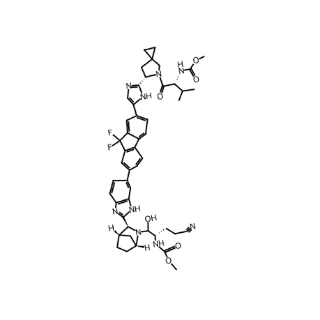 COC(=O)N[C@@H](CCC#N)C(O)N1[C@@H]2CC[C@@H](C2)[C@H]1c1nc2ccc(-c3ccc4c(c3)C(F)(F)c3cc(-c5cnc([C@@H]6CC7(CC7)CN6C(=O)[C@H](NC(=O)OC)C(C)C)[nH]5)ccc3-4)cc2[nH]1